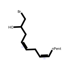 CCCCC/C=C\C/C=C\CC(O)CBr